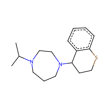 CC(C)N1CCCN(C2CCSc3ccccc32)CC1